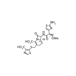 CO/N=C(\C(=O)NC1C(=O)N2C(C(=O)O)=C(CSc3scnc3C(=O)O)CS[C@H]12)c1csc(N)n1